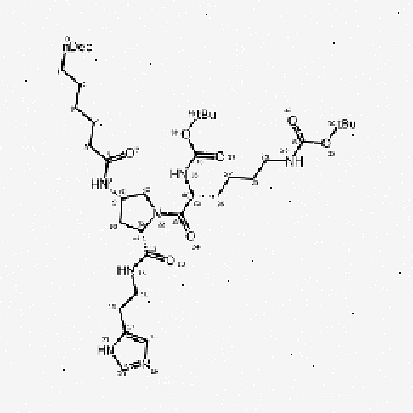 CCCCCCCCCCCCCCCC(=O)N[C@H]1C[C@@H](C(=O)NCCc2cnc[nH]2)N(C(=O)[C@@H](CCCCNC(=O)OC(C)(C)C)NC(=O)OC(C)(C)C)C1